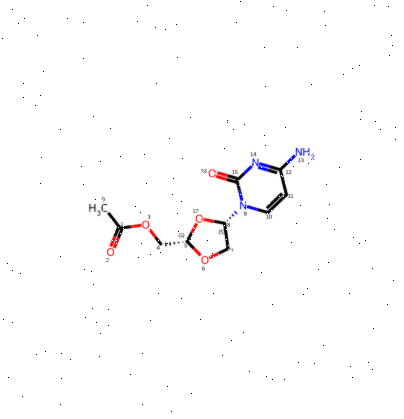 CC(=O)OC[C@H]1OC[C@@H](n2ccc(N)nc2=O)O1